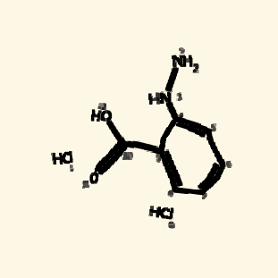 Cl.Cl.NNc1ccccc1C(=O)O